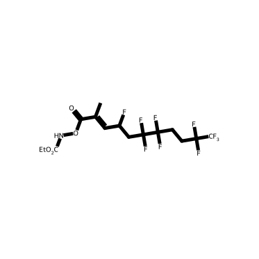 CCOC(=O)NOC(=O)C(C)=CC(F)CC(F)(F)C(F)(F)CCC(F)(F)C(F)(F)F